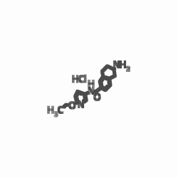 CCOc1ccc(NC(=O)c2ccc3c(c2)CCC(N)C3)cn1.Cl